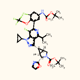 CC(C)c1nc(-c2cc(NC(=O)OC(C)(C)C)cc(F)c2OC(F)(F)F)c(F)c2c1c([C@@H]1[C@H]3CN(C(=O)OC(C)(C)C)[C@H](c4ncco4)[C@H]31)nn2C1CC1